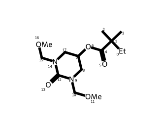 CCC(C)(C)C(=O)OC1CN(COC)C(=O)N(COC)C1